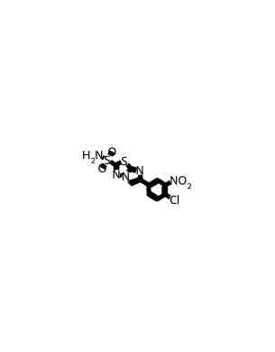 NS(=O)(=O)c1nn2cc(-c3ccc(Cl)c([N+](=O)[O-])c3)nc2s1